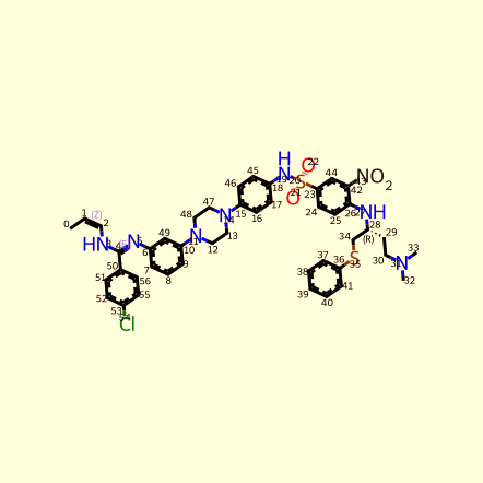 C/C=C\N/C(=N/c1cccc(N2CCN(c3ccc(NS(=O)(=O)c4ccc(N[C@H](CCN(C)C)CSc5ccccc5)c([N+](=O)[O-])c4)cc3)CC2)c1)c1ccc(Cl)cc1